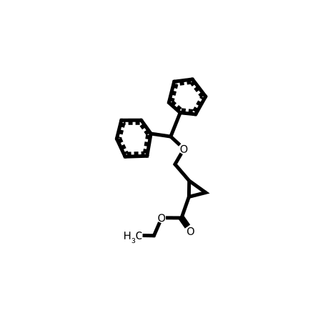 CCOC(=O)C1CC1COC(c1ccccc1)c1ccccc1